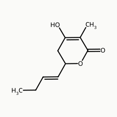 CCC=CC1CC(O)=C(C)C(=O)O1